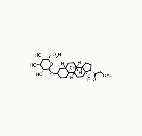 CC(=O)OCC(=O)[C@H]1CC[C@H]2[C@@H]3CC[C@H]4C[C@H](OC5O[C@H](C(=O)O)[C@@H](O)[C@H](O)[C@H]5O)CC[C@]4(C)[C@H]3CC[C@]12C